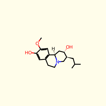 COc1cc2c(cc1O)CCN1C[C@H](CC(C)C)[C@@H](O)C[C@H]21